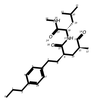 CCCc1ccc(CC[C@H](C[C@H](C)C=O)C(=O)N[C@@H](CC(C)C)C(=O)NC)cc1